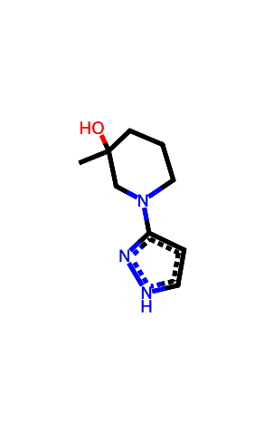 CC1(O)CCCN(c2cc[nH]n2)C1